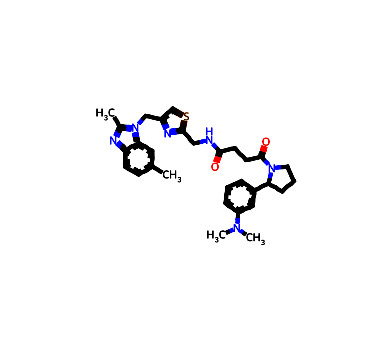 Cc1ccc2nc(C)n(Cc3csc(CNC(=O)CCC(=O)N4CCCC4c4cccc(N(C)C)c4)n3)c2c1